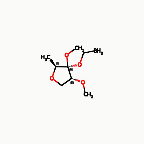 BCO[C@@]1(OC)[C@H](C)OC[C@H]1OC